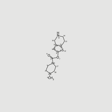 CN1CCN(C(=O)Oc2cc3c(s2)CCNC3)CC1